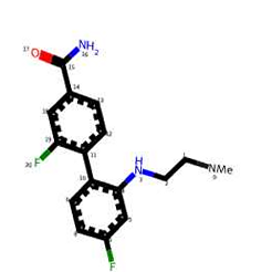 CNCCNc1cc(F)ccc1-c1ccc(C(N)=O)cc1F